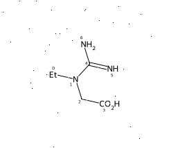 CCN(CC(=O)O)C(=N)N